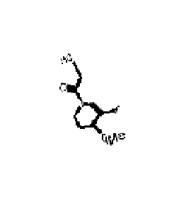 COC1CCN(C(=O)CO)CC1F